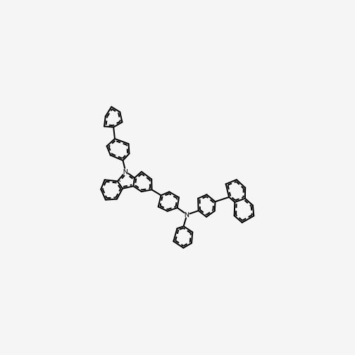 c1ccc(-c2ccc(-n3c4ccccc4c4cc(-c5ccc(N(c6ccccc6)c6ccc(-c7cccc8ccccc78)cc6)cc5)ccc43)cc2)cc1